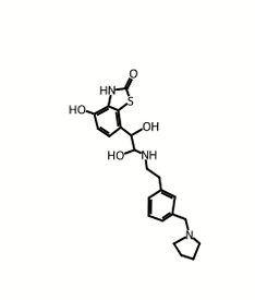 O=c1[nH]c2c(O)ccc(C(O)C(O)NCCc3cccc(CN4CCCC4)c3)c2s1